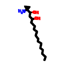 CCCCCCCCCCCCCC(O)C[C@H](O)C1(N)CC1